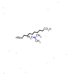 CCCCCCCCCCCCCCCCCC(=O)O.CN(C)C